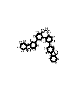 c1ccc2c(c1)oc1cc(-c3ccc4c(c3)-c3cc(-c5ccc6oc7ccccc7c6c5)ccc3OCO4)ccc12